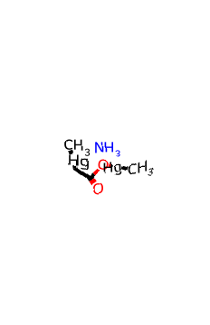 N.[CH3][Hg][CH2]C(=O)[O][Hg][CH3]